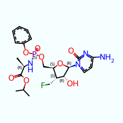 CC(C)OC(=O)[C@@H](C)N[P@](=O)(OC[C@H]1O[C@@H](n2ccc(N)nc2=O)[C@H](O)[C@@H]1CF)Oc1ccccc1